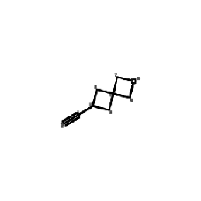 [C]#CC1CC2(COC2)C1